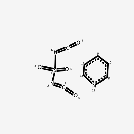 O=C=NS(=O)(=O)N=C=O.c1ccncc1